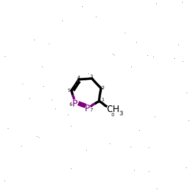 CC1CCC=CP=P1